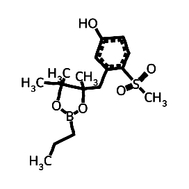 CCCB1OC(C)(C)C(C)(Cc2cc(O)ccc2S(C)(=O)=O)O1